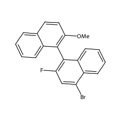 COc1ccc2ccccc2c1-c1c(F)cc(Br)c2ccccc12